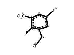 Fc1cc(CCl)c(F)c(C(Cl)(Cl)Cl)c1